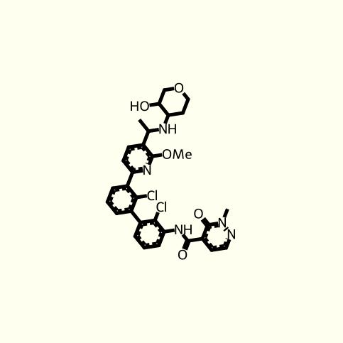 COc1nc(-c2cccc(-c3cccc(NC(=O)c4ccnn(C)c4=O)c3Cl)c2Cl)ccc1C(C)NC1CCOCC1O